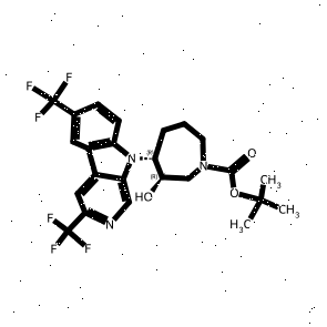 CC(C)(C)OC(=O)N1CCC[C@@H](n2c3ccc(C(F)(F)F)cc3c3cc(C(F)(F)F)ncc32)[C@H](O)C1